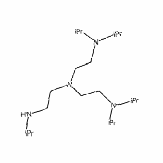 CC(C)NCCN(CCN(C(C)C)C(C)C)CCN(C(C)C)C(C)C